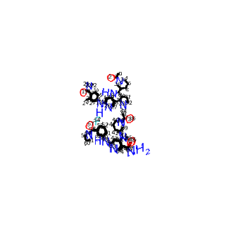 CC(=O)N1CCCC(CNc2cc(Nc3ccc(C(=O)N(C)C)c(C)c3)ncc2[C@H]2CCCN2C)C1.CC(=O)N1CCC[C@@H](N(C)c2cc(Nc3ccc(F)c(C(=O)N4CCC4)c3)ncc2C(N)=O)C1